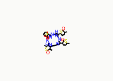 C=C1C(=O)SC(C)c2c1c1cc3nc(nc4[nH]c(cc4C4C=CC(C)C(=O)S4)nc4nc(nc2[nH]1)C1=C4C2C=CC1C(=O)S2)C(C1C=CC(C)SC1=O)=C3